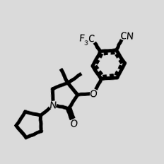 CC1(C)CN(C2CCCC2)C(=O)C1Oc1ccc(C#N)c(C(F)(F)F)c1